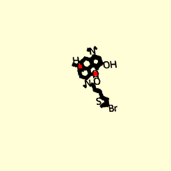 CN(C)c1cc(O)c2c3c1C[C@@H]1[C@@H]4CC[C@@H](N(C)C(=O)/C=C/c5cc(Br)cs5)[C@H](O2)[C@]34CCN1C